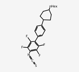 CCCCCCC1CCC(c2ccc(-c3c(F)c(F)c(N=C=S)c(F)c3F)cc2)CC1